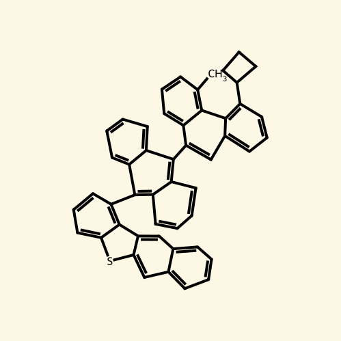 Cc1cccc2c(-c3c4ccccc4c(-c4cccc5sc6cc7ccccc7cc6c45)c4ccccc34)cc3cccc(C4CCC4)c3c12